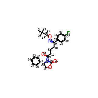 CC(C)(C)[Si](C)(C)ON=C(CCCC(=O)N1C(=O)OC[C@@H]1c1ccccc1)c1ccc(F)cc1